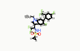 CC(C)(C)Cn1cc(C(NS(=O)(=O)C2CC2)C(F)F)c2cc(F)c(-c3ccc(F)cc3C(F)F)cc21